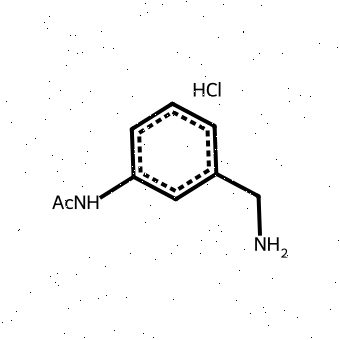 CC(=O)Nc1cccc(CN)c1.Cl